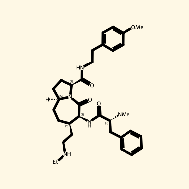 CCNCC[C@H]1CC[C@H]2CC[C@@H](C(=O)NCCc3ccc(OC)cc3)N2C(=O)[C@H]1NC(=O)[C@@H](Cc1ccccc1)NC